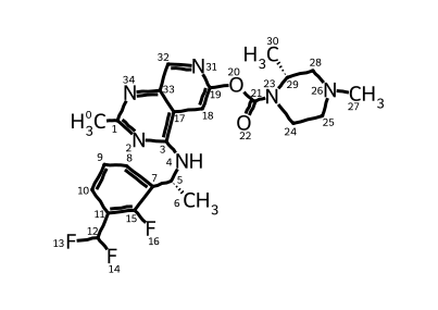 Cc1nc(N[C@H](C)c2cccc(C(F)F)c2F)c2cc(OC(=O)N3CCN(C)C[C@H]3C)ncc2n1